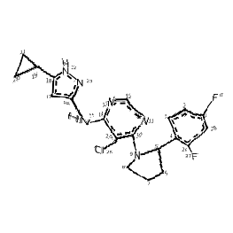 Fc1ccc(C2CCCN2c2ncnc(Nc3cc(C4CC4)[nH]n3)c2Cl)c(F)c1